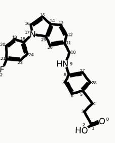 O=C(O)CCc1ccc(NCc2ccc3ccn(-c4ccc(F)cc4)c3c2)cc1